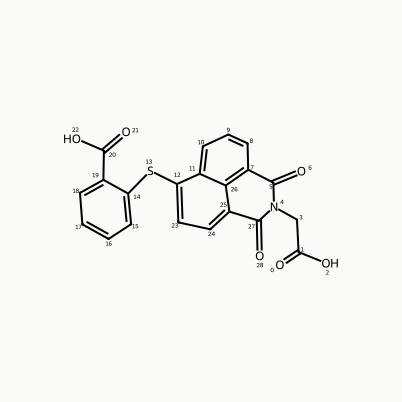 O=C(O)CN1C(=O)c2cccc3c(Sc4ccccc4C(=O)O)ccc(c23)C1=O